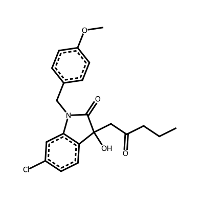 CCCC(=O)CC1(O)C(=O)N(Cc2ccc(OC)cc2)c2cc(Cl)ccc21